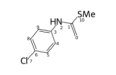 C=C(Nc1ccc(Cl)cc1)SC